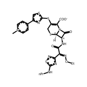 CCCNc1nc(C(=NOCC)C(=O)N[C@@H]2C(=O)N3C(C(=O)[O-])=C(Sc4nc(-c5cc[n+](C)cc5)cs4)CS[C@H]23)ns1